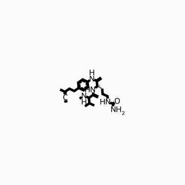 C=C=C(C)CCc1ccc(NC(=C)[C@H](CCCNC(N)=O)NC(=C)C(NC)C(C)C)cc1